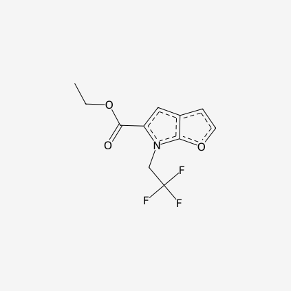 CCOC(=O)c1cc2ccoc2n1CC(F)(F)F